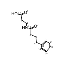 O=C(O)CCNC(=O)CCCc1ccccc1